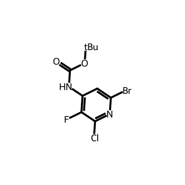 CC(C)(C)OC(=O)Nc1cc(Br)nc(Cl)c1F